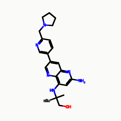 CCCCC(C)(CO)Nc1cc(N)nc2cc(-c3ccc(CN4CCCC4)nc3)cnc12